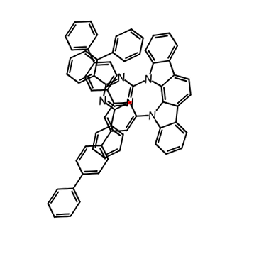 c1ccc(-c2ccc(-c3cc(-c4ccc(-c5ccccc5)cc4)cc(-n4c5ccccc5c5ccc6c7ccccc7n(-c7nc(-c8ccccc8)nc(-c8ccccc8-c8ccccc8)n7)c6c54)c3)cc2)cc1